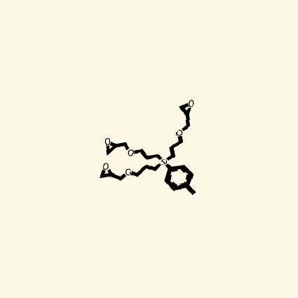 Cc1ccc([Si](CCCOCC2CO2)(CCCOCC2CO2)CCCOCC2CO2)cc1